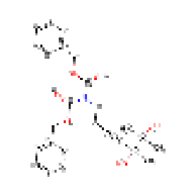 CC(C)(O)C(C)(O)C#CCCN(C(=O)OCc1ccccc1)C(=O)OCc1ccccc1